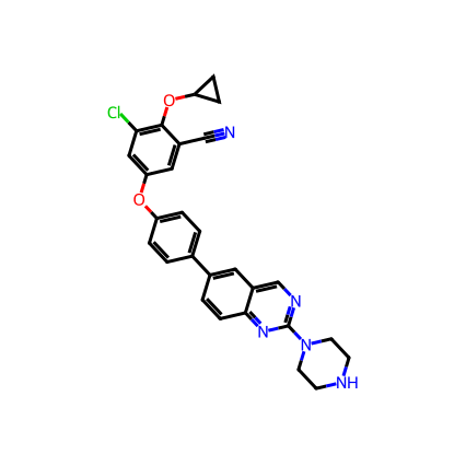 N#Cc1cc(Oc2ccc(-c3ccc4nc(N5CCNCC5)ncc4c3)cc2)cc(Cl)c1OC1CC1